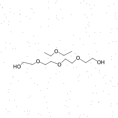 CCOCC.OCCOCCOCCOCCO